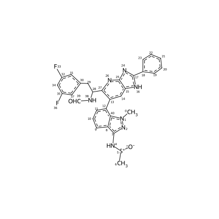 Cn1nc(N[S+](C)[O-])c2cccc(-c3cc4[nH]c(-c5ccccc5)nc4nc3C(Cc3cc(F)cc(F)c3)NC=O)c21